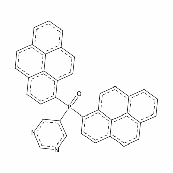 O=P(c1cncnc1)(c1ccc2ccc3cccc4ccc1c2c34)c1ccc2ccc3cccc4ccc1c2c34